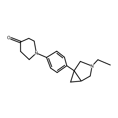 CCN1CC2CC2(c2ccc(N3CCC(=O)CC3)cc2)C1